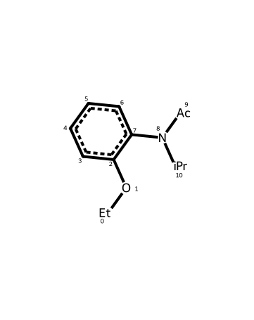 CCOc1ccccc1N(C(C)=O)C(C)C